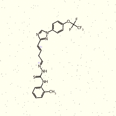 Cc1ccccc1NC(=S)N/N=C/C/C=C/c1ncn(-c2ccc(OC(F)(F)C(F)(F)F)cc2)n1